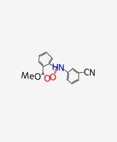 COC(=O)c1ccccc1C(=O)Nc1cccc(C#N)c1